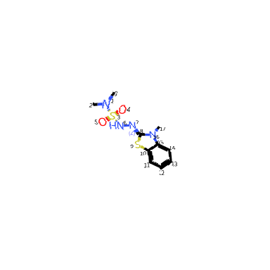 CN(C)S(=O)(=O)N/N=c1\sc2ccccc2n1C